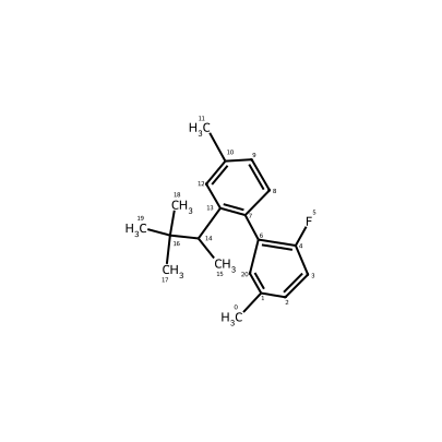 Cc1ccc(F)c(-c2ccc(C)cc2C(C)C(C)(C)C)c1